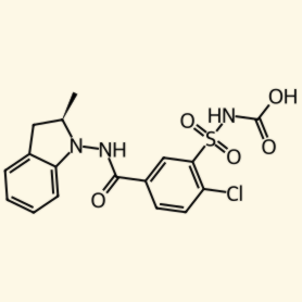 C[C@@H]1Cc2ccccc2N1NC(=O)c1ccc(Cl)c(S(=O)(=O)NC(=O)O)c1